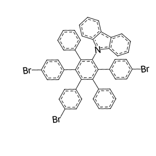 Brc1ccc(-c2c(-c3ccc(Br)cc3)c(-c3ccccc3)c(-n3c4ccccc4c4ccccc43)c(-c3ccc(Br)cc3)c2-c2ccccc2)cc1